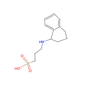 O=S(=O)(O)CCCNC1CCCc2ccccc21